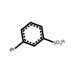 [CH2]C(C)c1cccc(S(=O)(=O)O)c1